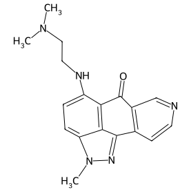 CN(C)CCNc1ccc2c3c(nn2C)-c2ccncc2C(=O)c13